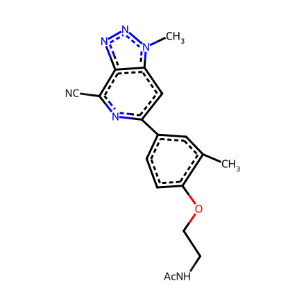 CC(=O)NCCOc1ccc(-c2cc3c(nnn3C)c(C#N)n2)cc1C